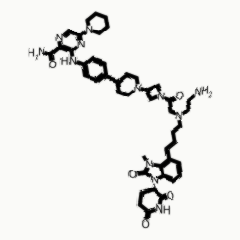 Cn1c(=O)n([C@H]2CCC(=O)NC2=O)c2cccc(CCCCN(CCN)CC(=O)N3CC(N4CCC(c5ccc(Nc6nc(N7CCCCC7)cnc6C(N)=O)cc5)CC4)C3)c21